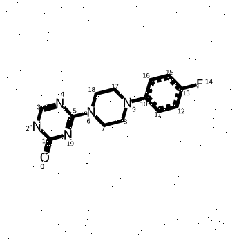 O=C1[N]C=NC(N2CCN(c3ccc(F)cc3)CC2)=N1